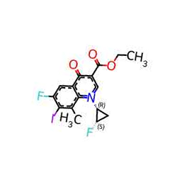 CCOC(=O)c1cn([C@@H]2C[C@@H]2F)c2c(C)c(I)c(F)cc2c1=O